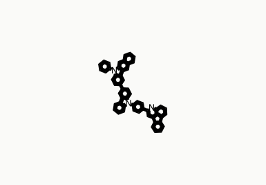 c1ccc(-n2c3ccc(-c4ccc5c(c4)c4ccccc4n5-c4ccc(-c5cc6c7c(cccc7n5)-c5ccccc5-6)cc4)cc3c3cc4ccccc4cc32)cc1